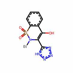 CCN1C(c2nnn[nH]2)=C(O)c2ccccc2S1(=O)=O